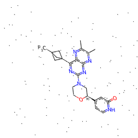 Cc1nc2nc(N3CCO[C@H](c4cc[nH]c(=O)c4)C3)nc(C34CC(C(F)(F)F)(C3)C4)c2nc1C